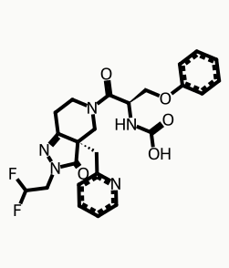 O=C(O)N[C@H](COc1ccccc1)C(=O)N1CCC2=NN(CC(F)F)C(=O)[C@]2(Cc2ccccn2)C1